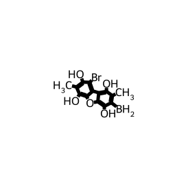 Bc1c(C)c(O)c2c(oc3c(O)c(C)c(O)c(Br)c32)c1O